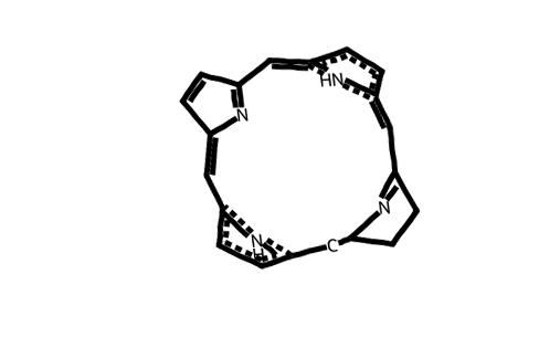 C1=C/C2=C/c3ccc([nH]3)CC3CCC(=N3)/C=c3/cc/c([nH]3)=C/C1=N2